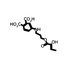 CC=C(O)C(=O)OCCCNc1ccc(C(=O)O)c(C(=O)O)c1